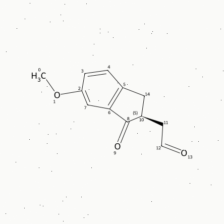 COc1ccc2c(c1)C(=O)[C@H](CC=O)C2